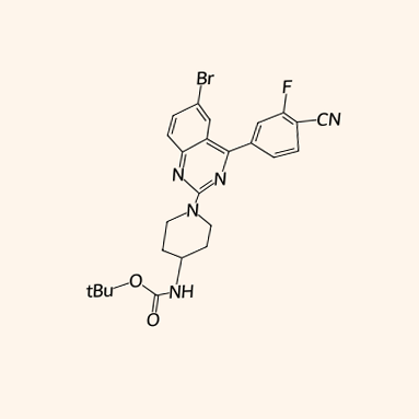 CC(C)(C)OC(=O)NC1CCN(c2nc(-c3ccc(C#N)c(F)c3)c3cc(Br)ccc3n2)CC1